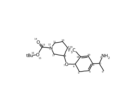 CC(N)C1=CCC(OC2CCCN(C(=O)OC(C)(C)C)C2)C(C(F)(F)F)=C1